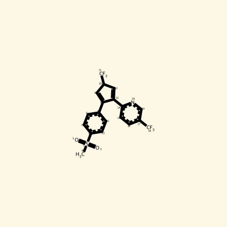 CS(=O)(=O)c1ccc(C2=CC(C(F)(F)F)C=C2c2ccc(C(F)(F)F)cn2)cc1